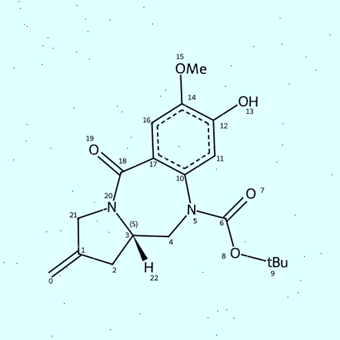 C=C1C[C@H]2CN(C(=O)OC(C)(C)C)c3cc(O)c(OC)cc3C(=O)N2C1